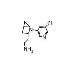 NCCC1CC2CC2N1c1cncc(Cl)c1